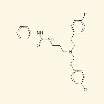 O=C(NCCCN(CCc1ccc(Cl)cc1)CCc1ccc(Cl)cc1)Nc1ccccc1